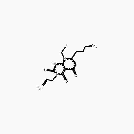 C=CCn1c(=O)[nH]c2c(c(=O)cc(CCCC)n2CF)c1=O